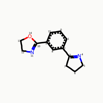 c1cc(C2=NCCC2)cc(C2=NCCO2)c1